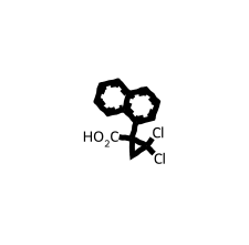 O=C(O)C1(c2cccc3ccccc23)CC1(Cl)Cl